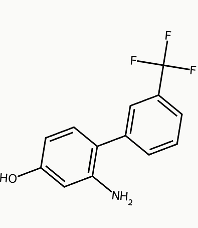 Nc1cc(O)ccc1-c1cccc(C(F)(F)F)c1